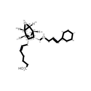 O=C(O)CCC/C=C\C[C@H]1[C@@H](COC/C=C/C2CCCCC2)[C@@H]2O[C@H]1[C@@H]1O[C@@H]12